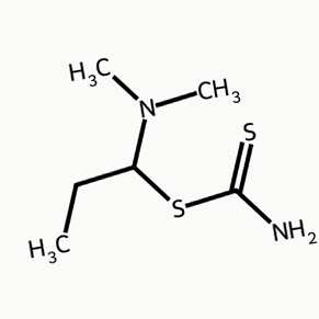 CCC(SC(N)=S)N(C)C